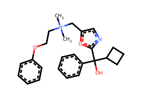 C[N+](C)(CCOc1ccccc1)Cc1cnc(C(O)(c2ccccc2)C2CCC2)o1